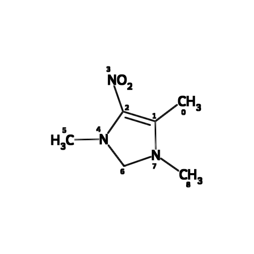 CC1=C([N+](=O)[O-])N(C)CN1C